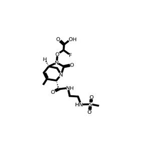 CC1=C[C@@H]2CN(C(=O)N2OC(F)C(=O)O)[C@@H]1C(=O)NCCNS(C)(=O)=O